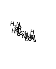 Nc1cccc(S(=O)(=O)Nc2cccc(C(O)CNCCOc3ccc4c(C5CCC5)n[nH]c4c3)c2)c1